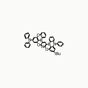 CC(C)(C)c1cc2c3c(c1)N(c1ccccc1)c1ccccc1B3c1cc3c(nc1O2)Oc1cc(N(c2ccccc2)c2ccccc2)cc2c1B3c1ccccc1O2